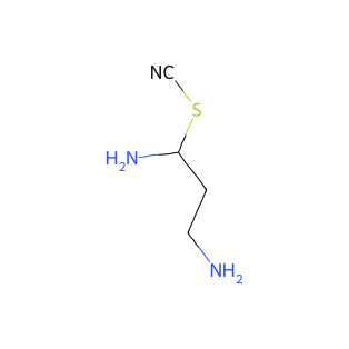 N#CSC(N)CCN